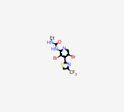 CCNC(=O)Nc1ncc(Br)c(-c2nc(C(F)(F)F)cs2)c1Br